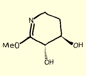 COC1=NCC[C@@H](O)[C@@H]1O